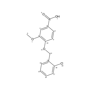 COc1cc(C(=O)O)ccc1OCc1ccccc1Cl